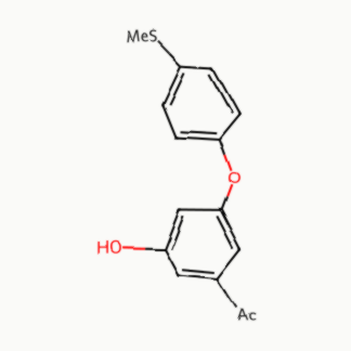 CSc1ccc(Oc2cc(O)cc(C(C)=O)c2)cc1